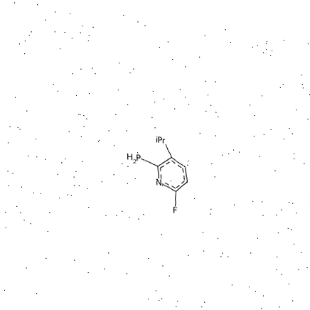 CC(C)c1ccc(F)nc1P